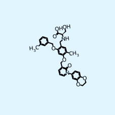 Cc1cccc(COc2cc(OCc3cccn(-c4ccc5c(c4)OCCO5)c3=O)c(C)cc2CN[C@H](CO)C(=O)O)c1